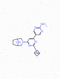 Nc1ncc(-c2cc(N3CC4CCC(C3)N4)nc(N3CC4CC3C4)n2)cn1